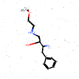 COCCNCC(O)C(N)Cc1ccccc1